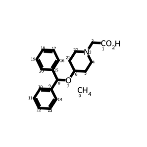 C.O=C(O)CN1CCC(OC(c2ccccc2)c2ccccc2)CC1